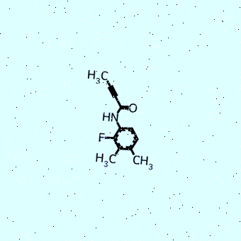 CC#CC(=O)Nc1ccc(C)c(C)c1F